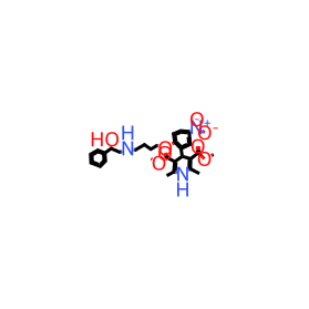 COC(=O)C1=C(C)NC(C)=C(C(=O)OC)C1c1cc([N+](=O)[O-])ccc1OCCCCNC[C@H](O)c1ccccc1